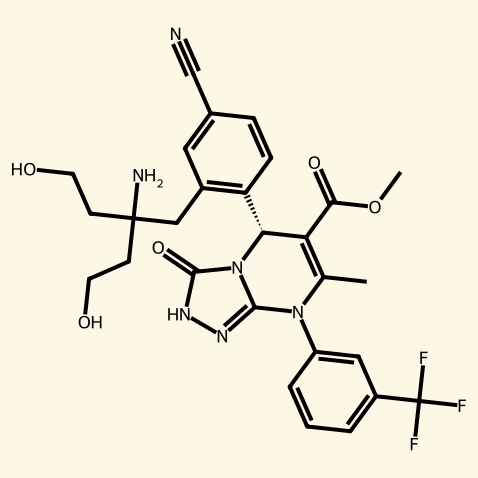 COC(=O)C1=C(C)N(c2cccc(C(F)(F)F)c2)c2n[nH]c(=O)n2[C@@H]1c1ccc(C#N)cc1CC(N)(CCO)CCO